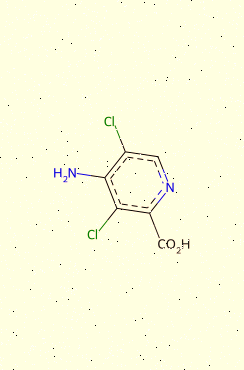 Nc1c(Cl)cnc(C(=O)O)c1Cl